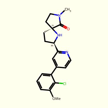 COc1cccc(-c2ccnc([C@H]3CC[C@@]4(CCN(C)C4=O)N3)c2)c1Cl